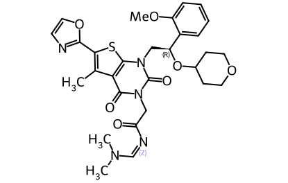 COc1ccccc1[C@H](Cn1c(=O)n(CC(=O)/N=C\N(C)C)c(=O)c2c(C)c(-c3ncco3)sc21)OC1CCOCC1